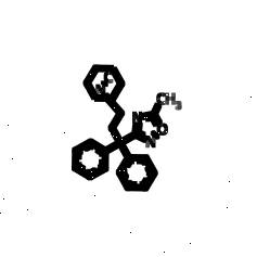 Cc1nc(C(CCN2CC3CCC2CC3)(c2ccccc2)c2ccccc2)no1